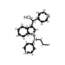 CCCN(c1ccncc1)n1cc(C(O)c2ccncc2)c2ccccc21